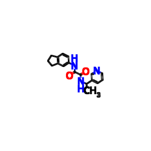 C[C@@H](NC(=O)C(=O)Nc1ccc2c(c1)CCC2)c1cccnc1